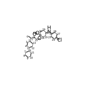 C=C(c1ccc(-c2ccccc2)cc1)C1COC2(CCC(Nc3ccc(Cl)cc3)CC2)OO1